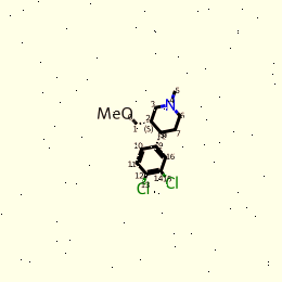 COC[C@@H]1CN(C)CC[C@@H]1c1ccc(Cl)c(Cl)c1